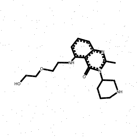 Cc1nc2cccc(NCCOCCO)c2c(=O)n1C1CCCNC1